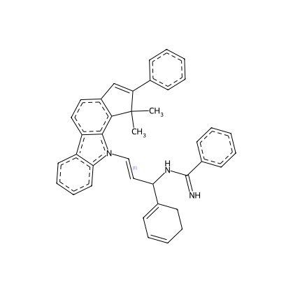 CC1(C)C(c2ccccc2)=Cc2ccc3c4ccccc4n(/C=C/C(NC(=N)c4ccccc4)C4=CC=CCC4)c3c21